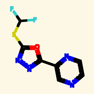 FC(F)Sc1nnc(-c2cnccn2)o1